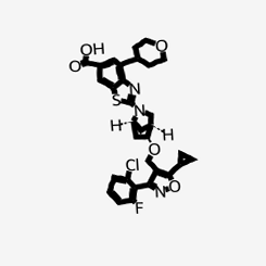 O=C(O)c1cc(C2CCOCC2)c2nc(N3C[C@@H]4C[C@H]3C[C@H]4OCc3c(-c4c(F)cccc4Cl)noc3C3CC3)sc2c1